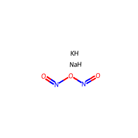 O=NON=O.[KH].[NaH]